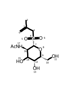 C=C(C)CS(=O)(=O)[C@@H]1O[C@H](CO)[C@H](O)C(O)[C@H]1NC(C)=O